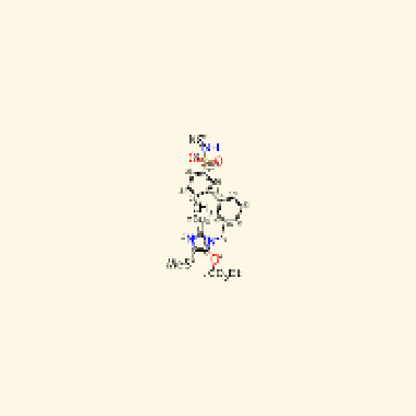 CCCCc1nc(SC)c(OC(=O)OCC)n1Cc1cccc(-c2cc(S(=O)(=O)NC#N)ccc2C)c1